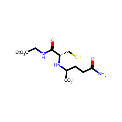 CCOC(=O)CNC(=O)[C@H](CS)N[C@@H](CCC(N)=O)C(=O)O